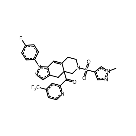 Cn1cc(S(=O)(=O)N2CCC3=Cc4c(cnn4-c4ccc(F)cc4)CC3(C(=O)c3cc(C(F)(F)F)ccn3)C2)cn1